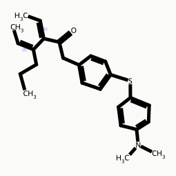 C/C=C(CCC)\C(=C/C)C(=O)Cc1ccc(Sc2ccc(N(C)C)cc2)cc1